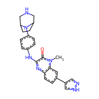 Cn1c(=O)c(Nc2ccc(N3C4CCC3CNC4)cc2)nc2ccc(-c3cn[nH]c3)cc21